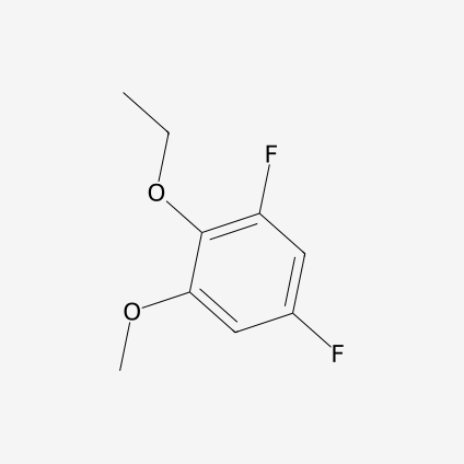 CCOc1c(F)cc(F)cc1OC